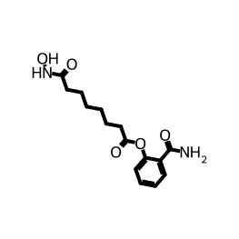 NC(=O)c1ccccc1OC(=O)CCCCCCC(=O)NO